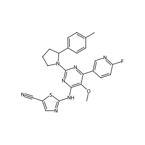 COc1c(Nc2ncc(C#N)s2)nc(N2CCCC2c2ccc(C)cc2)nc1-c1ccc(F)nc1